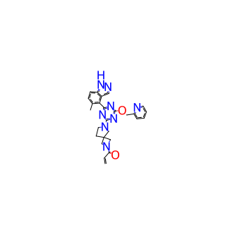 C=CC(=O)N1CC2(CCN(c3nc(OCc4ccccn4)nc(-c4c(C)ccc5[nH]ncc45)n3)C2)C1